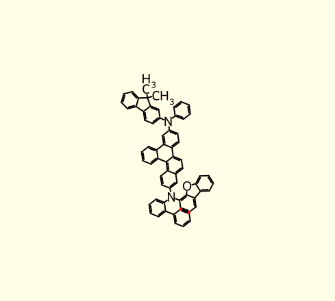 CC1(C)c2ccccc2-c2ccc(N(c3ccccc3)c3ccc4c(c3)c3ccccc3c3c5ccc(N(c6ccccc6-c6ccccc6)c6cccc7c6oc6ccccc67)cc5ccc43)cc21